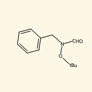 CC(C)(C)ON(C=O)Cc1ccccc1